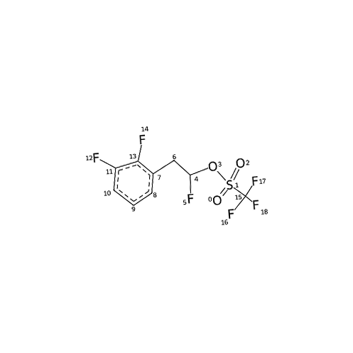 O=S(=O)(OC(F)Cc1cccc(F)c1F)C(F)(F)F